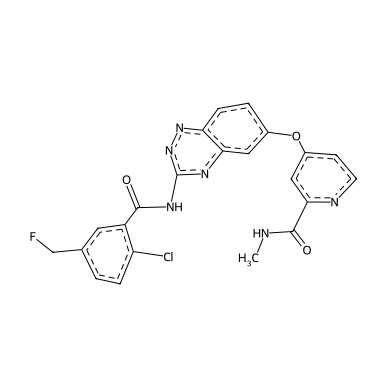 CNC(=O)c1cc(Oc2ccc3nnc(NC(=O)c4cc(CF)ccc4Cl)nc3c2)ccn1